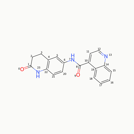 O=C1CCc2cc(NC(=O)c3ccnc4ccccc34)ccc2N1